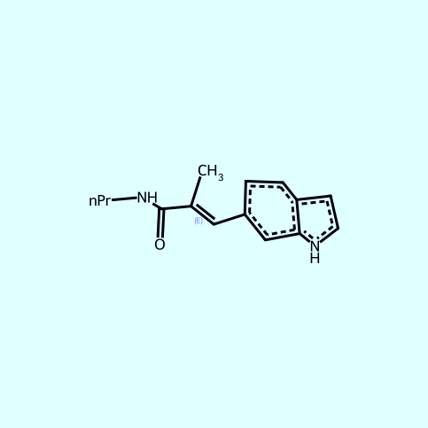 CCCNC(=O)/C(C)=C/c1ccc2cc[nH]c2c1